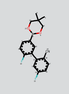 CC1(C)COB(c2ccc(F)c(-c3cc(F)ccc3C#N)c2)OC1